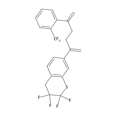 C=C(CCC(=C)c1ccccc1C(F)(F)F)c1ccc2c(c1)SC(F)(F)C(F)(F)C2